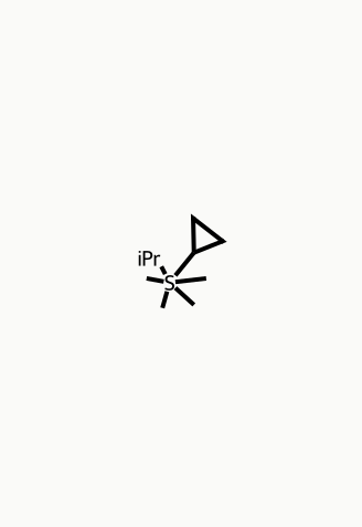 CC(C)S(C)(C)(C)(C)C1CC1